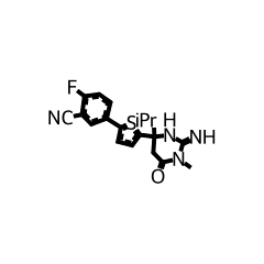 CC(C)C1(c2ccc(-c3ccc(F)c(C#N)c3)s2)CC(=O)N(C)C(=N)N1